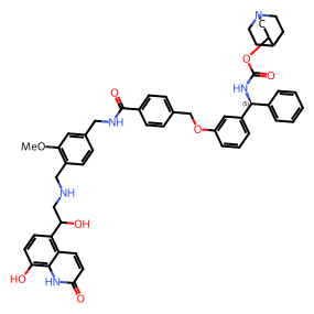 COc1cc(CNC(=O)c2ccc(COc3cccc([C@@H](NC(=O)OC4CN5CCC4CC5)c4ccccc4)c3)cc2)ccc1CNCC(O)c1ccc(O)c2[nH]c(=O)ccc12